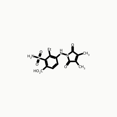 CCc1c(NN2C(=O)C(C)=C(C)C2=O)ccc(C(=O)O)c1S(N)(=O)=O